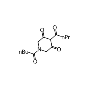 CCCCC(=O)N1CC(=O)C(C(=O)CCC)C(=O)C1